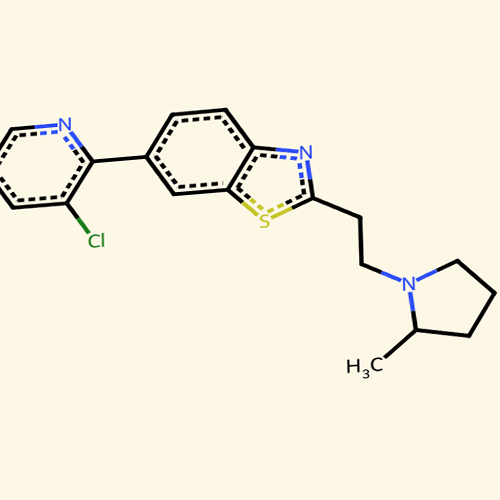 CC1CCCN1CCc1nc2ccc(-c3ncccc3Cl)cc2s1